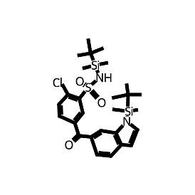 CC(C)(C)[Si](C)(C)NS(=O)(=O)c1cc(C(=O)c2ccc3ccn([Si](C)(C)C(C)(C)C)c3c2)ccc1Cl